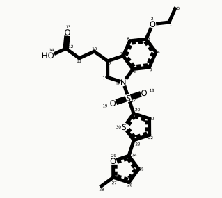 CCOc1ccc2c(c1)C(CCC(=O)O)CN2S(=O)(=O)c1ccc(-c2ccc(C)o2)s1